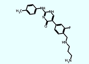 Cc1ccc(Nc2nc(=O)c(-c3ccc(CNCCCN)c(F)c3)c[nH]2)cc1